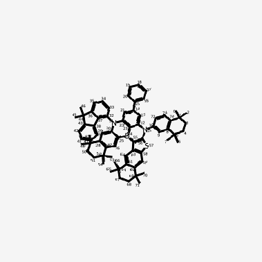 CC1(C)CCC(C)(C)c2cc(N3c4cc(-c5ccccc5)cc5c4B(c4cc6c(cc4N5c4cccc5c4-c4ccccc4C5(C)C)C(C)(C)CCC6(C)C)c4c3sc3cc5c(cc43)C(C)(C)CCC5(C)C)ccc21